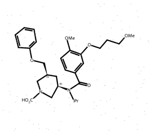 COCCCOc1cc(C(=O)N(C(C)C)[C@@H]2C[C@H](COc3ccccc3)CN(C(=O)O)C2)ccc1OC